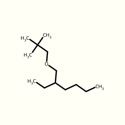 CCCCC(CC)COCC(C)(C)C